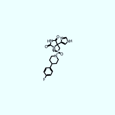 O=C1NC(=O)C(CS(=O)(=O)N2CCC(c3ccc(F)cc3)CC2)(c2c[nH]cn2)N1